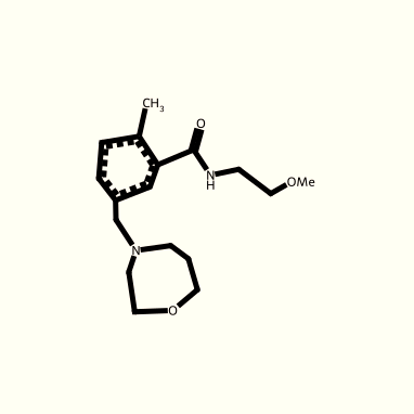 COCCNC(=O)c1cc(CN2CCCOCC2)ccc1C